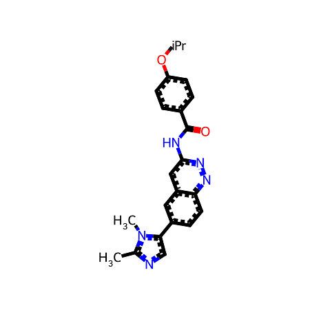 Cc1ncc(-c2ccc3nnc(NC(=O)c4ccc(OC(C)C)cc4)cc3c2)n1C